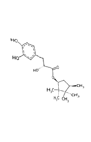 C[C@@H]1C[C@H](OC(=O)[C@H](O)Cc2ccc(O)c(O)c2)C(C)(C)C1(C)C